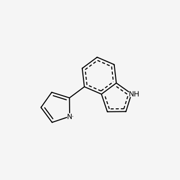 C1=C[N]C(c2cccc3[nH]ccc23)=C1